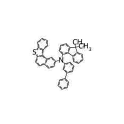 CC1(C)c2ccccc2-c2c(N(c3cccc(-c4ccccc4)c3)c3ccc4ccc5sc6ccccc6c5c4c3)cccc21